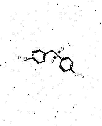 Cc1ccc(S(=O)(=O)Cc2ccc([SiH3])cc2)cc1